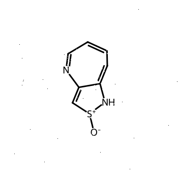 [O-][S+]1C=C2N=CC=CC=C2N1